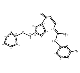 C=C(/C=C\N=C(/N)Nc1cccc(C)c1)c1ccc(NCc2ccccn2)s1